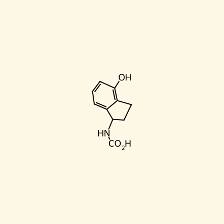 O=C(O)NC1CCc2c(O)cccc21